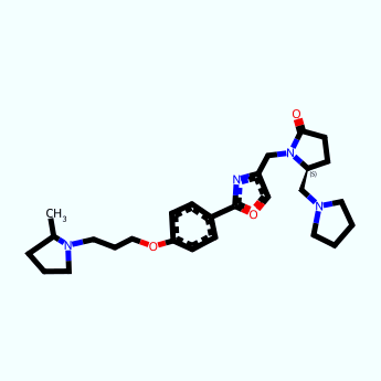 CC1CCCN1CCCOc1ccc(-c2nc(CN3C(=O)CC[C@H]3CN3CCCC3)co2)cc1